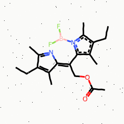 CCC1=C(C)/C(=C(\COC(C)=O)c2c(C)c(CC)c(C)n2B(F)F)N=C1C